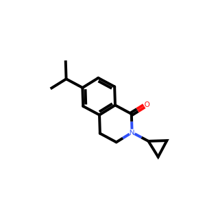 CC(C)c1ccc2c(c1)CCN(C1CC1)C2=O